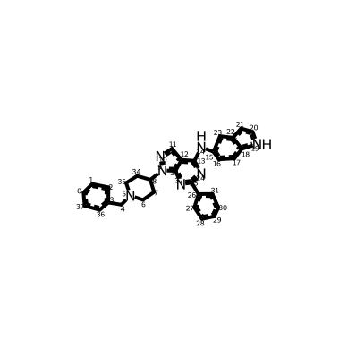 c1ccc(CN2CCC(n3ncc4c(Nc5ccc6[nH]ccc6c5)nc(-c5ccccc5)nc43)CC2)cc1